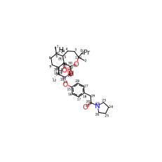 CC(C)[C@]1(C)CC[C@@H]2[C@H](C)CC[C@H]3[C@@H](C)[C@@H](Oc4ccc(CC(=O)N5CCCC5)cc4)O[C@H](O1)[C@@]23O